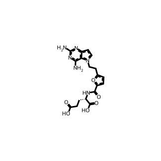 Nc1nc(N)c2c(ccn2CCc2ccc(C(=O)N[C@@H](CCC(=O)O)C(=O)O)o2)n1